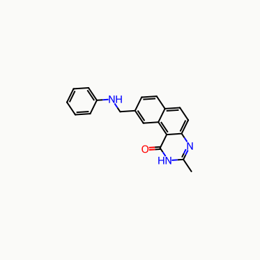 Cc1nc2ccc3ccc(CNc4ccccc4)cc3c2c(=O)[nH]1